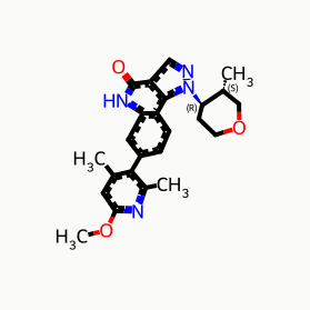 COc1cc(C)c(-c2ccc3c(c2)[nH]c(=O)c2cnn([C@@H]4CCOC[C@H]4C)c23)c(C)n1